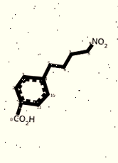 O=C(O)c1ccc(CCCC[N+](=O)[O-])cc1